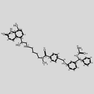 CN(CCCCNCC(O)c1ccc(O)c2[nH]c(=O)ccc12)C(=O)c1ccc(COc2cccc(C(OC(N)=O)c3ccccc3)c2)cc1